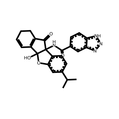 CC(C)c1ccc2c(c1)OC1(O)C3=C(CCC=C3)C(=O)C21NC(=O)c1ccc2[nH]nnc2c1